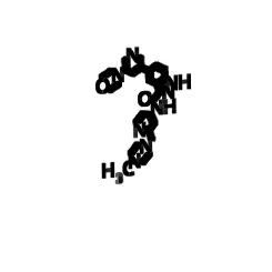 CN1CCN(Cc2cc(NC(=O)c3n[nH]c4ccc(-c5cncc(N6CCOCC6)c5)cc34)ccn2)CC1